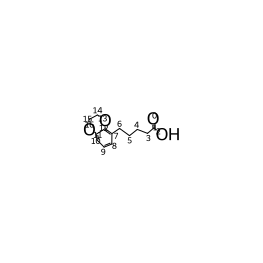 O=C(O)CCCCc1cccc2c1OCCO2